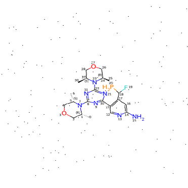 C[C@@H]1COC[C@H](C)N1c1nc(-c2cnc(N)cc2C(F)P)nc(N2[C@H](C)COC[C@@H]2C)n1